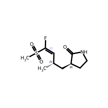 C[C@H](/C=C(/F)S(C)(=O)=O)C[C@@H]1CCNC1=O